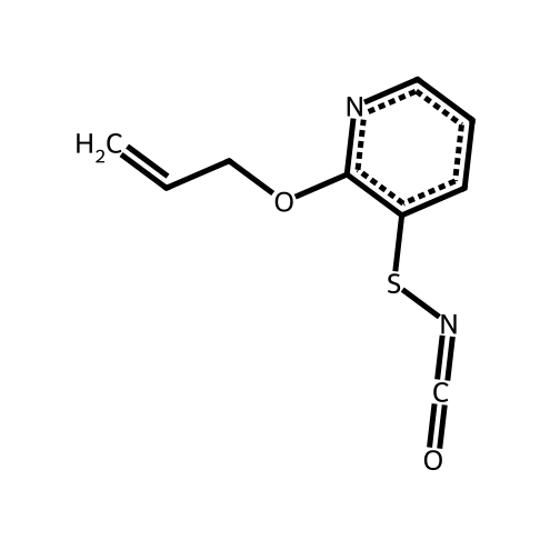 C=CCOc1ncccc1SN=C=O